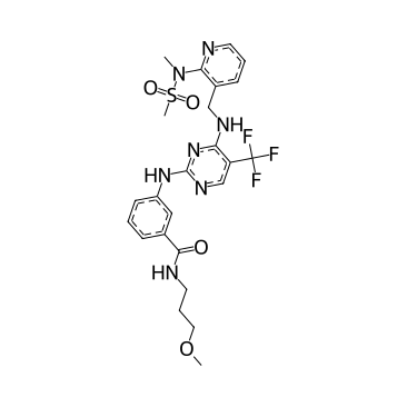 COCCCNC(=O)c1cccc(Nc2ncc(C(F)(F)F)c(NCc3cccnc3N(C)S(C)(=O)=O)n2)c1